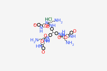 COc1ccc2c(CC(=O)N[C@H](CCCCN)C(=O)Nc3ccc(C(c4ccc(NC(=O)[C@@H](CCCCN)NC(=O)Cc5c(C)[nH]c6cc(OC)ccc56)cc4)c4ccc(NC(=O)[C@@H](CCCCN)NC(=O)Cc5c(C)[nH]c6cc(OC)ccc56)cc4)cc3)c(C)[nH]c2c1.Cl